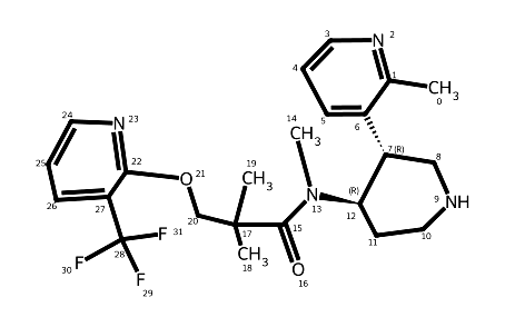 Cc1ncccc1[C@@H]1CNCC[C@H]1N(C)C(=O)C(C)(C)COc1ncccc1C(F)(F)F